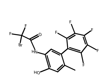 Cc1cc(O)c(NC(=O)C(F)(F)Br)cc1-c1c(F)c(F)c(F)c(F)c1F